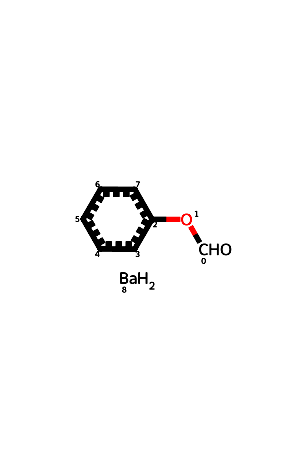 O=COc1ccccc1.[BaH2]